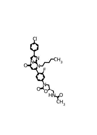 CCCCCn1c(-c2ccc(N3C[C@@H](CNC(C)=O)OC3=O)cc2F)cc(=O)n2cc(-c3ccc(Cl)cc3)nc12